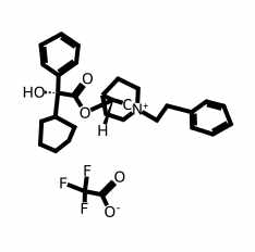 O=C(O[C@H]1C[N+]2(CCc3ccccc3)CCC1CC2)[C@](O)(c1ccccc1)C1CCCCC1.O=C([O-])C(F)(F)F